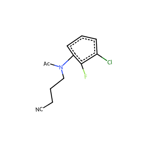 CC(=O)N(CCCC#N)c1cccc(Cl)c1F